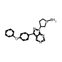 BN1CCC(n2nc(-c3ccc(Oc4ccccc4)cc3)c3cncnc32)C1